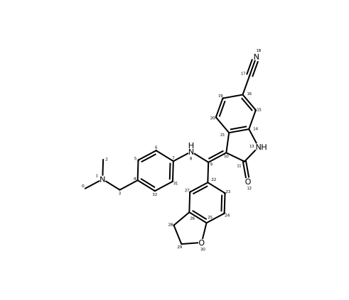 CN(C)Cc1ccc(NC(=C2C(=O)Nc3cc(C#N)ccc32)c2ccc3c(c2)CCO3)cc1